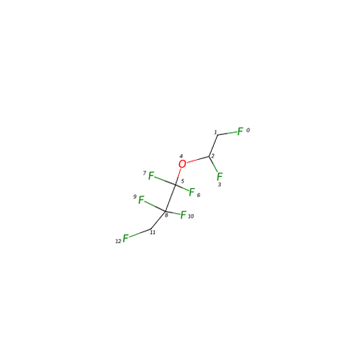 FCC(F)OC(F)(F)C(F)(F)CF